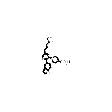 O=C(O)C1CCN(c2nc(CCCCC(F)(F)F)cnc2-c2ccc3occc3c2)CC1